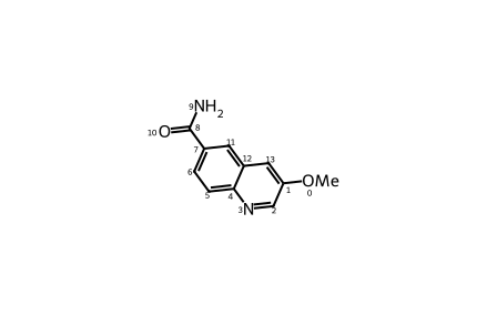 COc1cnc2ccc(C(N)=O)cc2c1